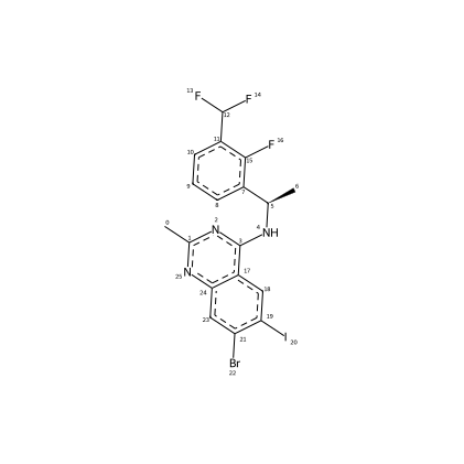 Cc1nc(N[C@H](C)c2cccc(C(F)F)c2F)c2cc(I)c(Br)cc2n1